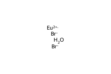 O.[Br-].[Br-].[Eu+2]